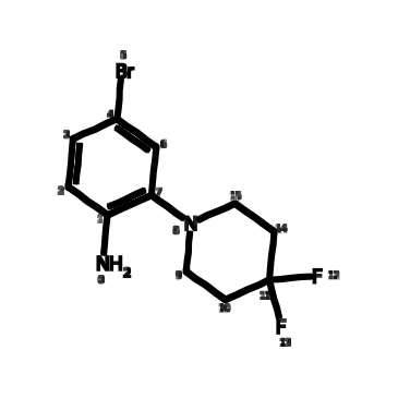 Nc1ccc(Br)cc1N1CCC(F)(F)CC1